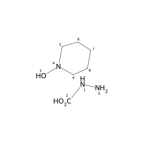 NNC(=O)O.ON1CCCCC1